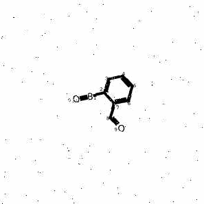 O=Bc1ccccc1C=O